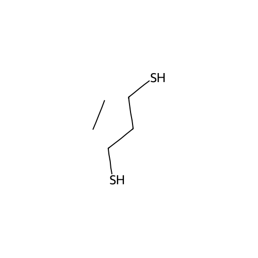 CC.SCCCS